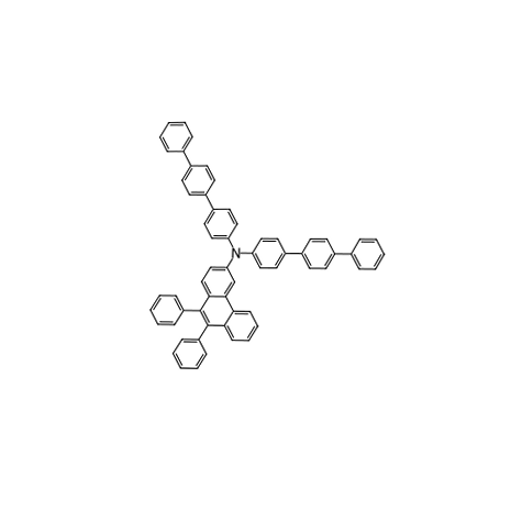 c1ccc(-c2ccc(-c3ccc(N(c4ccc(-c5ccc(-c6ccccc6)cc5)cc4)c4ccc5c(-c6ccccc6)c(-c6ccccc6)c6ccccc6c5c4)cc3)cc2)cc1